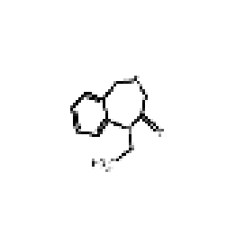 O=C(O)CN1C(=O)CSCc2ccccc21